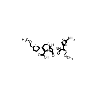 COC[C@@H]1CC[C@H](C2=C(C(=O)O)N3C(=O)[C@@H](NC(=O)/C(=N\OC)c4csc(N)n4)[C@H]3SC2)O1